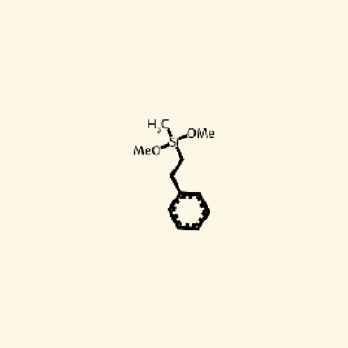 CO[Si](C)(CCc1ccccc1)OC